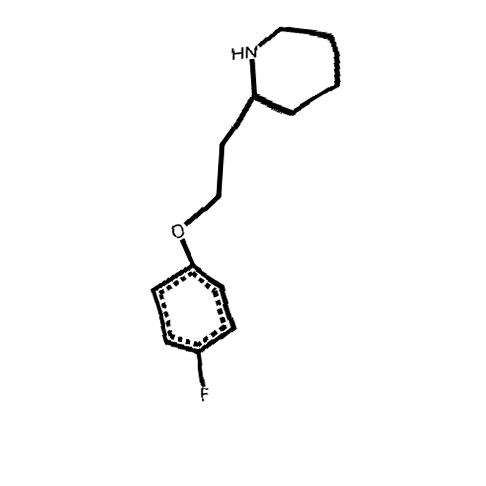 Fc1ccc(OCCC2CCCCN2)cc1